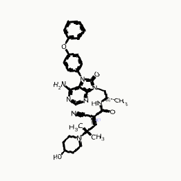 C[C@@H](Cn1c(=O)n(-c2ccc(Oc3ccccc3)cc2)c2c(N)ncnc21)NC(=O)/C(C#N)=C/C(C)(C)N1CCC(O)CC1